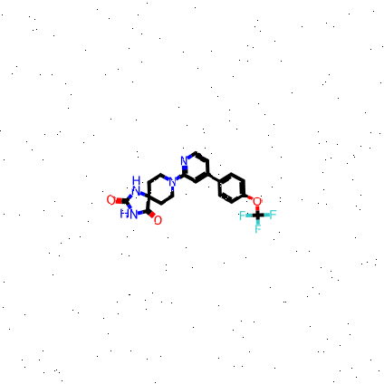 O=C1NC(=O)C2(CCN(c3cc(-c4ccc(OC(F)(F)F)cc4)ccn3)CC2)N1